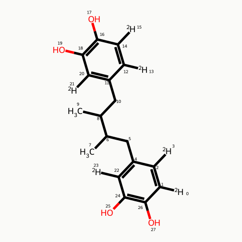 [2H]c1c([2H])c(CC(C)C(C)Cc2c([2H])c([2H])c(O)c(O)c2[2H])c([2H])c(O)c1O